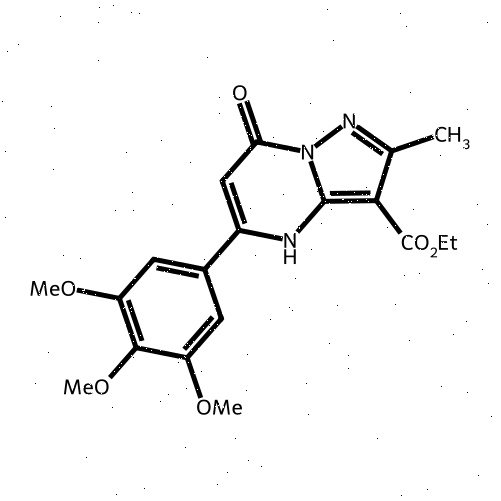 CCOC(=O)c1c(C)nn2c(=O)cc(-c3cc(OC)c(OC)c(OC)c3)[nH]c12